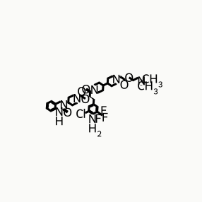 CN(C)CCOC(=O)CN1CCC(C2CCN(C(=O)[C@@H](Cc3cc(Cl)c(N)c(C(F)(F)F)c3)OC(=O)N3CCC(N4Cc5ccccc5NC4=O)CC3)CC2)CC1